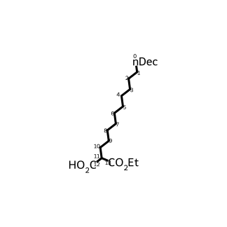 CCCCCCCCCCCCCCCCCCCCC(C(=O)O)C(=O)OCC